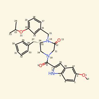 COc1ccc2[nH]c(C(=O)N3CC(=O)N(Cc4cccc(OC(C)C)c4)[C@@H](Cc4ccccc4)C3)cc2c1